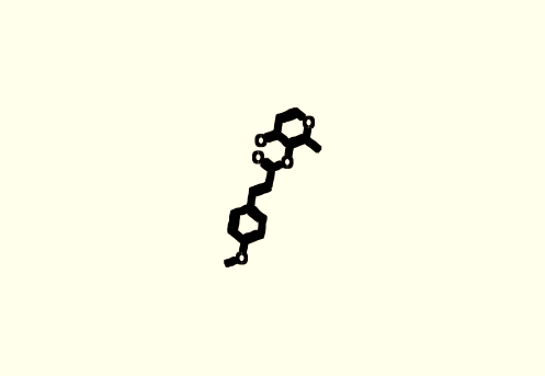 COc1ccc(/C=C/C(=O)Oc2c(C)occc2=O)cc1